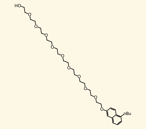 CCCCc1cccc2cc(OCCOCCOCCOCCOCCOCCOCCOCCOCCOCCO)ccc12